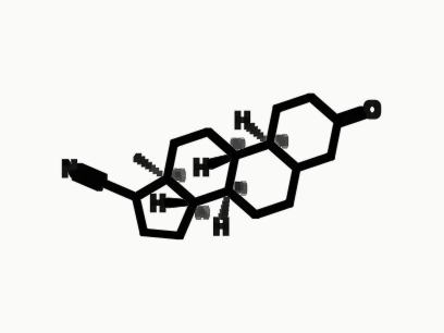 C[C@]12CC[C@H]3[C@@H](CCC4CC(=O)CC[C@@H]43)[C@@H]1CCC2C#N